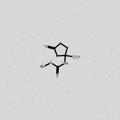 CC(C)(C)OC(=O)NC1(C(=O)O)CCC(=O)C1